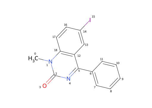 Cn1c(=O)nc(-c2ccccc2)c2cc(I)ccc21